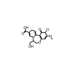 COC1=CC2=C(C(=O)C1Cl)C1=CCC(C(=O)O)=CN1C(CO)CO2